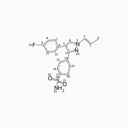 CC=Cn1cc(-c2ccc(F)cc2)c(-c2ccc(S(N)(=O)=O)cc2)n1